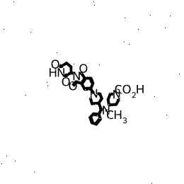 CN(C1CCN(C(=O)O)CC1)C(c1ccccc1)C1CCN(c2ccc3c(c2)C(=O)N(C2CCC(=O)NC2=O)C3=O)CC1